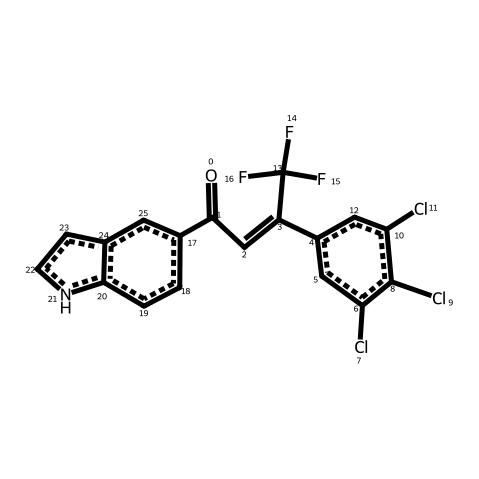 O=C(C=C(c1cc(Cl)c(Cl)c(Cl)c1)C(F)(F)F)c1ccc2[nH]ccc2c1